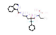 CC(C)CC(NC(=O)C1(C(F)(F)c2ccccc2)CC(CNC(=O)c2nccc3ccccc23)=NO1)B(O)O